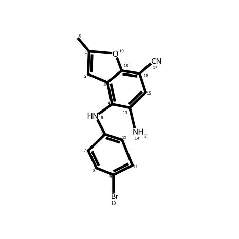 Cc1cc2c(Nc3ccc(Br)cc3)c(N)cc(C#N)c2o1